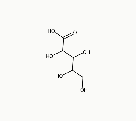 O=C(O)C(O)C(O)C(O)CO